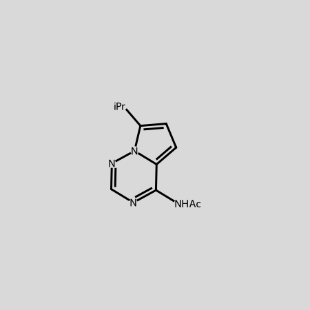 CC(=O)Nc1ncnn2c(C(C)C)ccc12